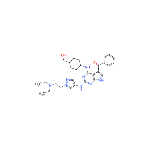 CCN(CC)CCn1cc(Nc2nc(NC3CCC(CO)CC3)c3c(C(=O)c4ccccc4)c[nH]c3n2)cn1